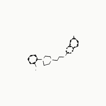 CCOc1ccccc1N1CCN(CCNc2nc3ccc(F)cc3s2)CC1